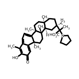 CC1=C(O)C(=O)C=C2C1=CC=C1[C@@]2(C)CC[C@@]2(C)[C@@H]3C[C@](C)(C(C)(C(=O)O)N4CCCC4)CC[C@]3(C)CC[C@]12C